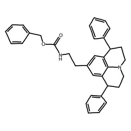 O=C(NCCc1cc2c3c(c1)C(c1ccccc1)CCN3CCC2c1ccccc1)OCc1ccccc1